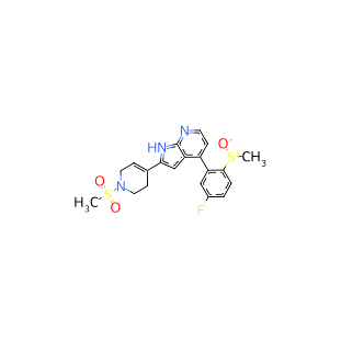 C[S+]([O-])c1ccc(F)cc1-c1ccnc2[nH]c(C3=CCN(S(C)(=O)=O)CC3)cc12